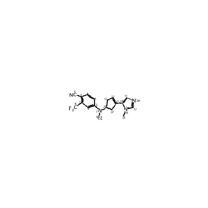 CCN(c1ccc(C#N)c(C(F)(F)F)c1)C1CC=C(c2cncn2C)C1